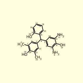 Cc1cc(C(c2cc(N)c(O)c(N)c2)c2ccccc2O)cc(C)c1O